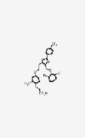 Cc1cc(OCCc2sc(-c3ccc(C(F)(F)F)cc3)nc2COc2c(F)cccc2Cl)ccc1CCC(=O)O